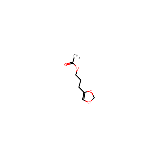 CC(=O)OCCCC1=COCO1